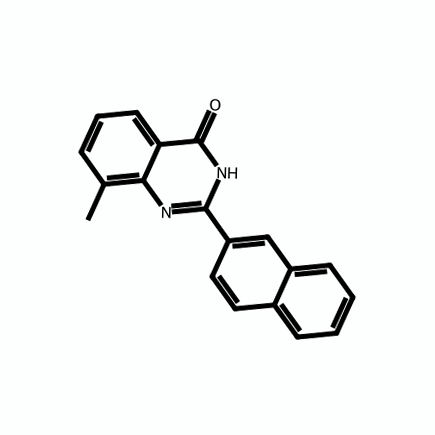 Cc1cccc2c(=O)[nH]c(-c3ccc4ccccc4c3)nc12